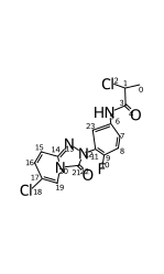 CC(Cl)C(=O)Nc1ccc(F)c(-n2nc3ccc(Cl)cn3c2=O)c1